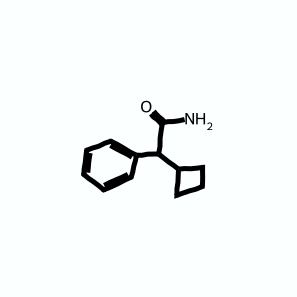 NC(=O)C(c1ccccc1)C1CCC1